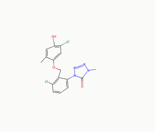 Cc1cc(O)c(Cl)cc1OCc1c(Cl)cccc1-n1nnn(C)c1=O